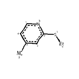 CCSc1cc(C#N)ccn1